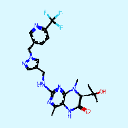 Cc1nc(NCc2cnn(Cc3ccc(C(F)(F)F)nc3)c2)nc2c1NC(=O)[C@H](C(C)(C)O)N2C